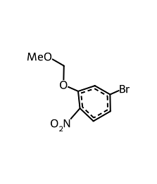 COCOc1cc(Br)ccc1[N+](=O)[O-]